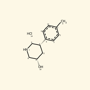 Cc1ccc([C@H]2CNC[C@@H](O)C2)cc1.Cl